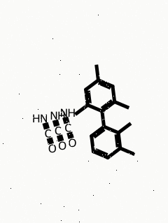 Cc1cc(C)c(-c2cccc(C)c2C)c(C)c1.N=C=O.N=C=O.N=C=O